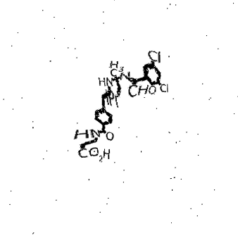 CC(C)CC(C)(/N=C(\C=O)c1cc(Cl)cc(Cl)c1)NCCc1ccc(C(=O)NCCC(=O)O)cc1